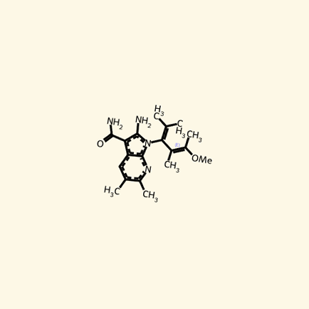 CO/C(C)=C(\C)C(=C(C)C)n1c(N)c(C(N)=O)c2cc(C)c(C)nc21